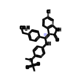 CN(c1ccc(N/C(=C2\C(=O)Nc3cc(Cl)ccc32)c2ccc(CC(=O)O)cc2)cc1)S(C)(=O)=O